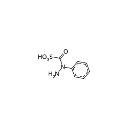 NN(C(=O)S(=O)(=O)O)c1ccccc1